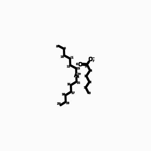 CCCCCC(=O)[O-].CCCCC[CH2][Al+][CH2]CCCCC